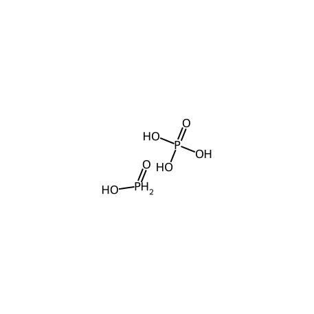 O=P(O)(O)O.O=[PH2]O